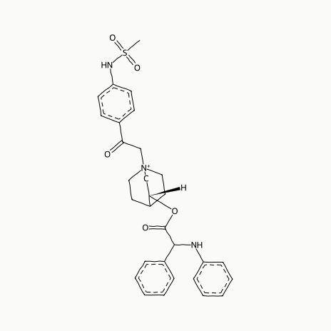 CS(=O)(=O)Nc1ccc(C(=O)C[N+]23CCC(CC2)[C@@H](OC(=O)C(Nc2ccccc2)c2ccccc2)C3)cc1